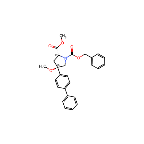 COC(=O)[C@H]1C[C@@](OC)(c2ccc(-c3ccccc3)cc2)CN1C(=O)OCc1ccccc1